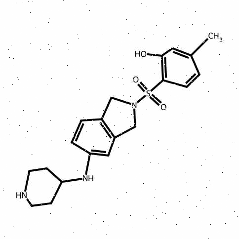 Cc1ccc(S(=O)(=O)N2Cc3ccc(NC4CCNCC4)cc3C2)c(O)c1